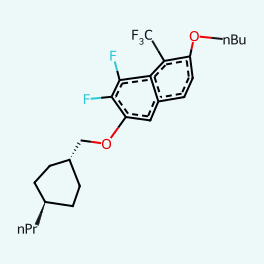 CCCCOc1ccc2cc(OC[C@H]3CC[C@H](CCC)CC3)c(F)c(F)c2c1C(F)(F)F